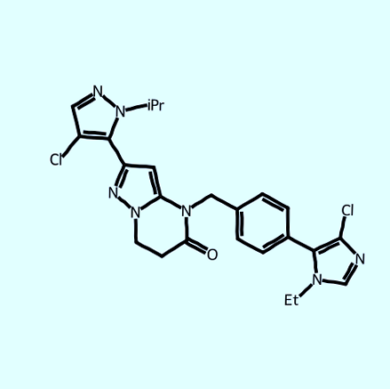 CCn1cnc(Cl)c1-c1ccc(CN2C(=O)CCn3nc(-c4c(Cl)cnn4C(C)C)cc32)cc1